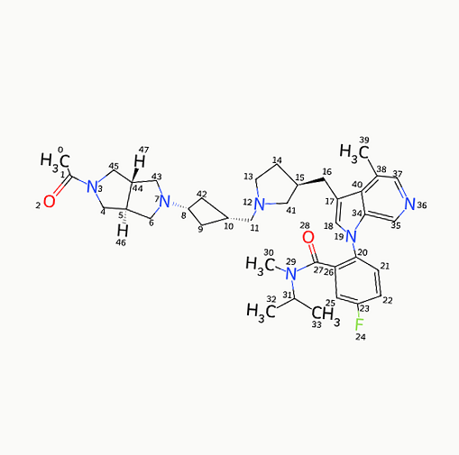 CC(=O)N1C[C@@H]2CN([C@H]3C[C@@H](CN4CC[C@@H](Cc5cn(-c6ccc(F)cc6C(=O)N(C)C(C)C)c6cncc(C)c56)C4)C3)C[C@H]2C1